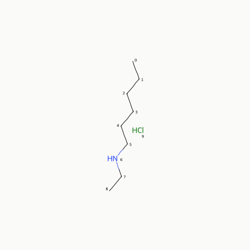 CCCCCCNCC.Cl